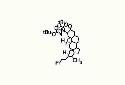 CC(C)CCC[C@@H](C)[C@H]1CCC2C3CCC4CC(=O)[C@H](N(NC(=O)OC(C)(C)C)C(=O)OC(C)(C)C)C[C@]4(C)C3CC[C@@]21C